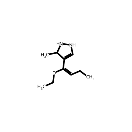 CC/C=C(/OCC)C1=CNNC1C